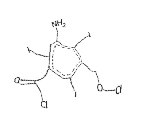 Nc1c(I)c(COCl)c(I)c(C(=O)Cl)c1I